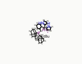 CC(C)(C)C12CC3CC(CC(P(Cc4ccccc4C(P)(c4ccc[nH]4)c4ccc[nH]4)C45CC6CC(C4)CC(C(C)(C)C)(C6)C5)(C3)C1)C2